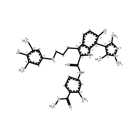 COC(=O)c1ccc(NC(=O)c2[nH]c3c(-c4c(C)nn(C)c4C)c(Cl)ccc3c2CCCOc2cc(C)c(Cl)c(C)c2)cc1C